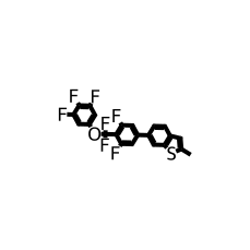 Cc1cc2ccc(-c3cc(F)c(C(F)(F)Oc4cc(F)c(F)c(F)c4)c(F)c3)cc2s1